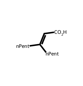 CCCCCC(=CC(=O)O)CCCCC